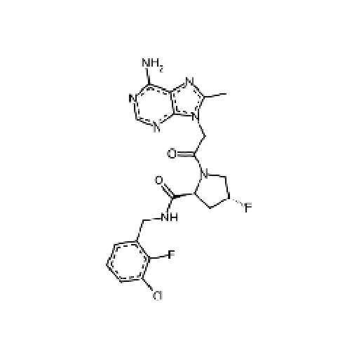 Cc1nc2c(N)ncnc2n1CC(=O)N1C[C@H](F)C[C@H]1C(=O)NCc1cccc(Cl)c1F